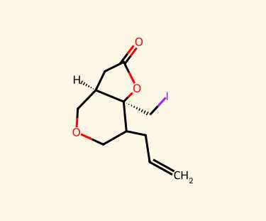 C=CCC1COC[C@H]2CC(=O)O[C@@]12CI